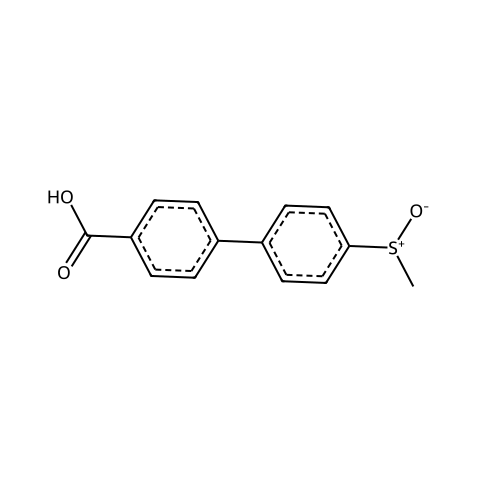 C[S+]([O-])c1ccc(-c2ccc(C(=O)O)cc2)cc1